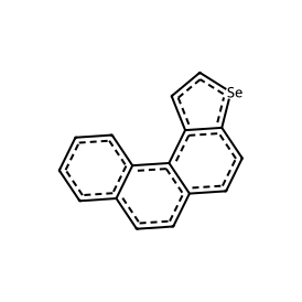 c1ccc2c(c1)ccc1ccc3[se]ccc3c12